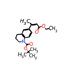 CCOC(=O)/C=C(/C)c1ccc2c(c1)CCCN2C(=O)OC(C)(C)C